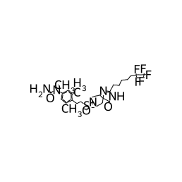 Cc1cc(N(C)C(N)=O)cc(C)c1CC[S+]([O-])N1CCC2(CC1)N=C(CCCCCC(F)(F)C(F)(F)F)NC2=O